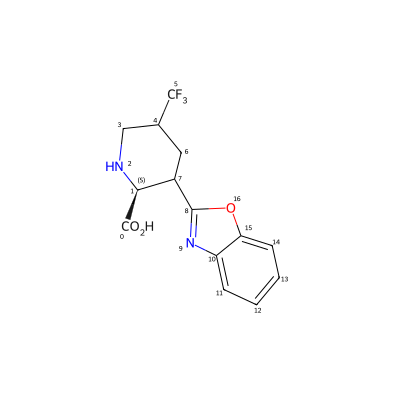 O=C(O)[C@H]1NCC(C(F)(F)F)CC1c1nc2ccccc2o1